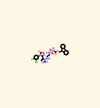 O=C(NS(=O)(=O)NCCNN1NOC=C1c1noc(=O)n1-c1ccc(F)c(Br)c1)OCC1c2ccccc2-c2ccccc21